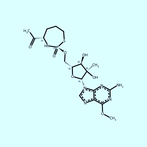 COc1nc(N)nc2c1ncn2[C@@H]1O[C@H](CO[P@@]2(=O)N[C@H](C(C)=O)CCCS2)[C@@H](O)[C@@]1(C)O